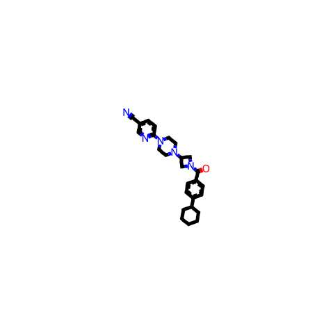 N#Cc1ccc(N2CCN(C3CN(C(=O)c4ccc(C5CCCCC5)cc4)C3)CC2)nc1